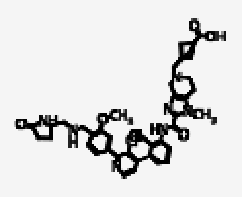 COc1cc(-c2nccc(-c3cccc(NC(=O)c4nc5c(n4C)CCN(CC46CC(C(=O)O)(C4)C6)C5)c3Cl)c2Cl)ccc1CNCC1CCC(=O)N1